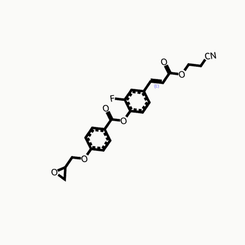 N#CCCOC(=O)/C=C/c1ccc(OC(=O)c2ccc(OCC3CO3)cc2)c(F)c1